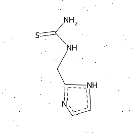 NC(=S)NCc1ncc[nH]1